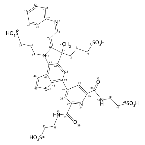 CC1(CCCS(=O)(=O)O)/C(=C\C=N/c2ccccc2)N(CCCS(=O)(=O)O)c2c1cc(-c1cc(C(=O)NCCS(=O)(=O)O)nc(C(=O)NCCS(=O)(=O)O)c1)c1sccc21